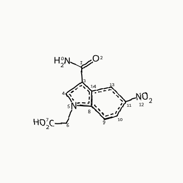 NC(=O)c1cn(CC(=O)O)c2ccc([N+](=O)[O-])cc12